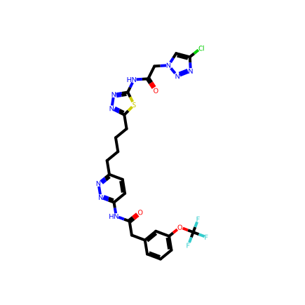 O=C(Cc1cccc(OC(F)(F)F)c1)Nc1ccc(CCCCc2nnc(NC(=O)Cn3cc(Cl)nn3)s2)nn1